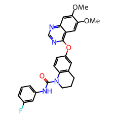 COc1cc2ncnc(Oc3ccc4c(c3)CCCN4C(=O)Nc3cccc(F)c3)c2cc1OC